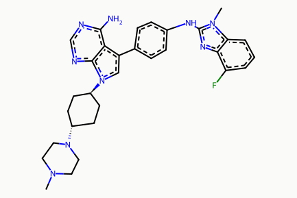 CN1CCN([C@H]2CC[C@H](n3cc(-c4ccc(Nc5nc6c(F)cccc6n5C)cc4)c4c(N)ncnc43)CC2)CC1